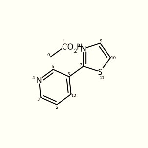 CC(=O)O.c1cncc(-c2nccs2)c1